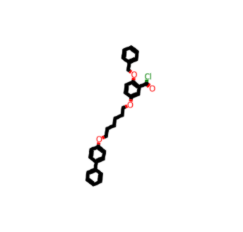 O=C(Cl)c1cc(OCCCCCCOc2ccc(-c3ccccc3)cc2)ccc1OCc1ccccc1